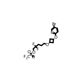 O=S(=O)(OCC(F)(F)CCCO[C@H]1C[C@H](Oc2ccc(Br)cn2)C1)C(F)(F)F